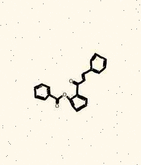 O=C(Oc1ccccc1C(=O)/C=C/c1ccccc1)c1ccccc1